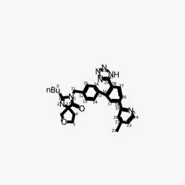 CCCCC1=NC2(CCOC2)C(=O)N1Cc1ccc(-c2cc(-c3cc(C)ccn3)ccc2-c2nnn[nH]2)cc1